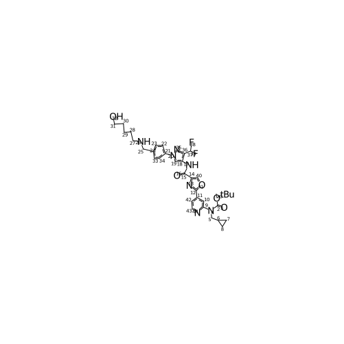 CC(C)(C)OC(=O)N(CC1CC1)c1cc(-c2nc(C(=O)Nc3cn(-c4ccc(CNCCCCCO)cc4)nc3C(F)F)co2)ccn1